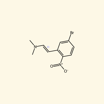 CN(C)/C=C/c1cc(Br)ccc1[N+](=O)[O-]